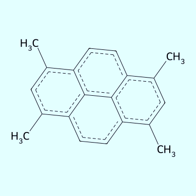 Cc1cc(C)c2ccc3c(C)cc(C)c4ccc1c2c43